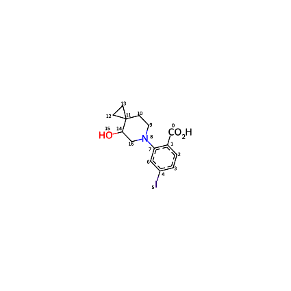 O=C(O)c1ccc(I)cc1N1CCC2(CC2)C(O)C1